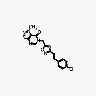 Cn1nnc2ncn(Cc3nc(/C=C/c4ccc(Cl)cc4)no3)c(=O)c21